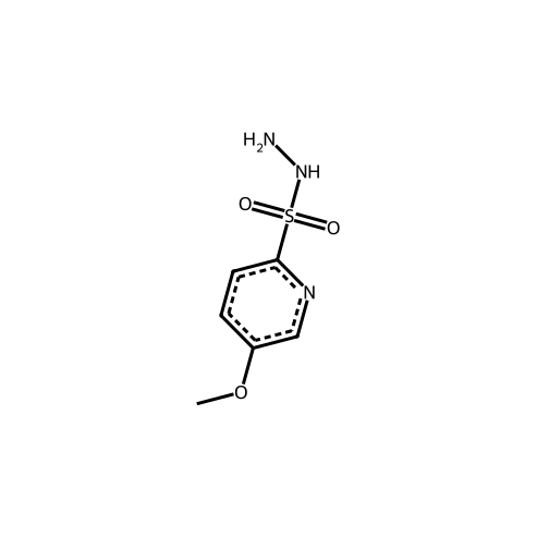 COc1ccc(S(=O)(=O)NN)nc1